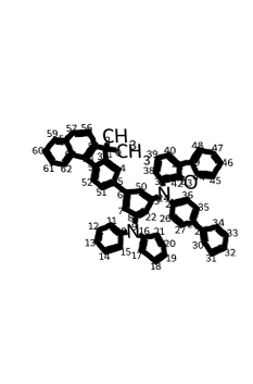 CC1(C)c2cc(-c3cc(N(c4ccccc4)c4ccccc4)cc(N(c4ccc(-c5ccccc5)cc4)c4cccc5c4oc4ccccc45)c3)ccc2-c2c1ccc1ccccc21